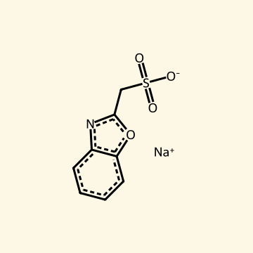 O=S(=O)([O-])Cc1nc2ccccc2o1.[Na+]